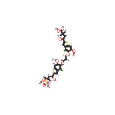 COC(=O)C(C)(C)CC(=O)c1cc2c(F)c(OCCCOc3c(OC)cc4sc(C(=O)CC(C)(C)P(=O)(OC)OC)cc4c3F)c(OC)cc2s1